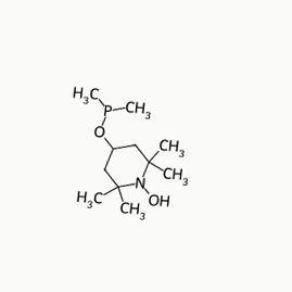 CP(C)OC1CC(C)(C)N(O)C(C)(C)C1